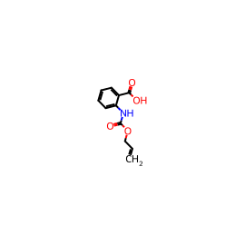 C=CCOC(=O)Nc1ccccc1C(=O)O